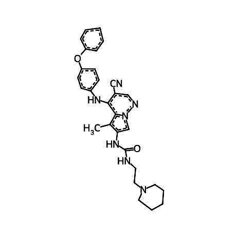 Cc1c(NC(=O)NCCN2CCCCC2)cn2ncc(C#N)c(Nc3ccc(Oc4ccccc4)cc3)c12